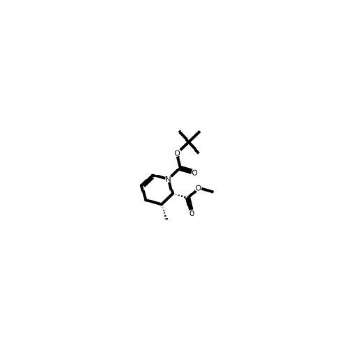 COC(=O)[C@@H]1[C@H](C)CC=CN1C(=O)OC(C)(C)C